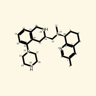 Cc1cnc2c(c1)CCC[C@@H]2N(C)C[C@H]1Cc2c(cccc2N2CCNCC2)CN1